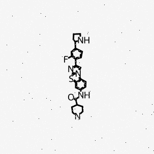 CN1CCC(C(=O)Nc2ccc3c(c2)sc2nc(-c4ccc(C5CCCN5)cc4F)cn23)CC1